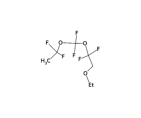 CCOCC(F)(F)OC(F)(F)OC(C)(F)F